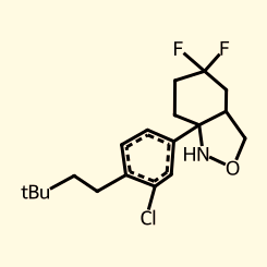 CC(C)(C)CCc1ccc(C23CCC(F)(F)CC2CON3)cc1Cl